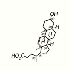 C[C@H](CCC(=O)O)[C@H]1CC[C@H]2[C@@H]3CC[C@@H]4C[C@@H](O)CC[C@]4(C)[C@H]3C=C[C@]12C